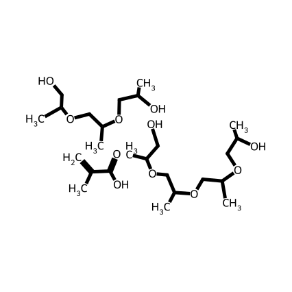 C=C(C)C(=O)O.CC(O)COC(C)COC(C)CO.CC(O)COC(C)COC(C)COC(C)CO